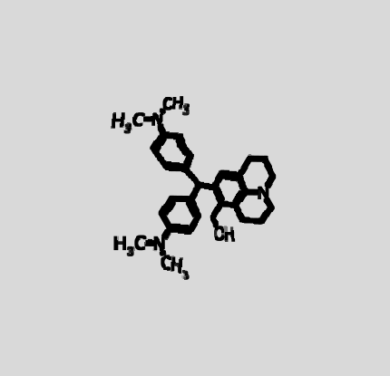 CN(C)c1ccc(C(c2ccc(N(C)C)cc2)c2cc3c4c(c2CO)CCCN4CCC3)cc1